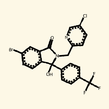 O=C1c2cc(Br)ccc2C(O)(c2ccc(C(F)(F)F)cc2)N1Cc1ccc(Cl)cn1